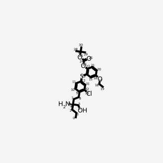 CCC[C@@](N)(CO)CCc1ccc(Sc2cc(OCC)ccc2OC(=O)OC(C)(C)C)cc1Cl